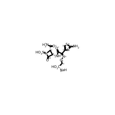 NC(=O)[C@@H]1[C@H](NC(=O)C(=NOCC(=O)O)c2csc(N)n2)C(=O)N1S(=O)(=O)O.[NaH]